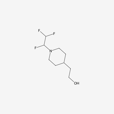 OCCC1CCN(C(F)C(F)F)CC1